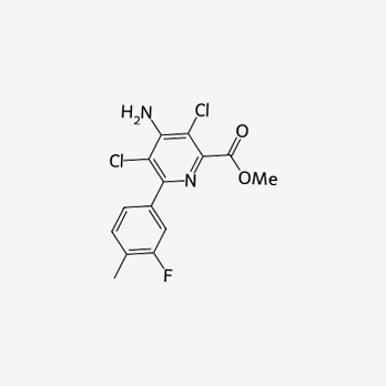 COC(=O)c1nc(-c2ccc(C)c(F)c2)c(Cl)c(N)c1Cl